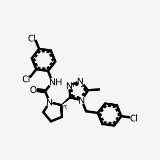 Cc1nnc([C@H]2CCCN2C(=O)Nc2ccc(Cl)cc2Cl)n1Cc1ccc(Cl)cc1